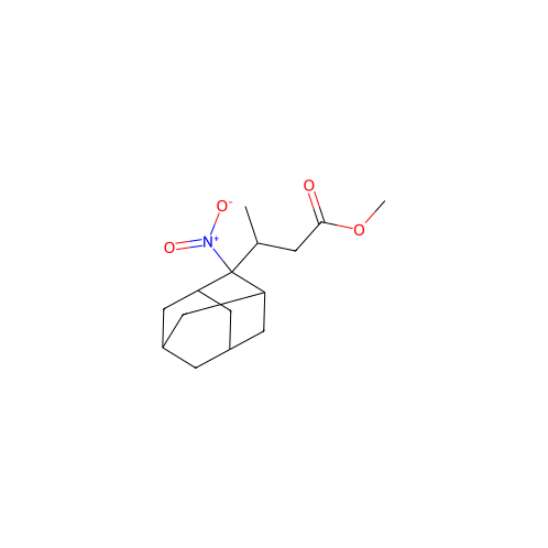 COC(=O)CC(C)C1([N+](=O)[O-])C2CC3CC(C2)CC1C3